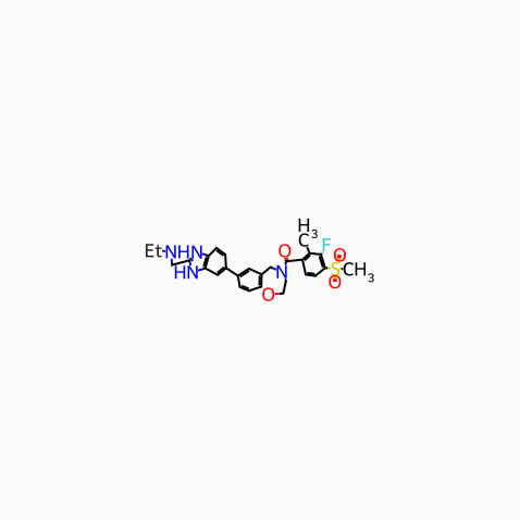 CCNCc1nc2ccc(-c3ccc4c(c3)CN(C(=O)c3ccc(S(C)(=O)=O)c(F)c3C)CCO4)cc2[nH]1